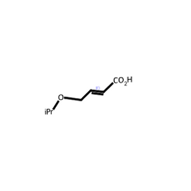 CC(C)OC/C=C/C(=O)O